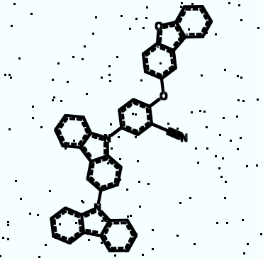 N#Cc1cc(-n2c3ccccc3c3cc(-n4c5ccccc5c5ccccc54)ccc32)ccc1Oc1ccc2oc3ccccc3c2c1